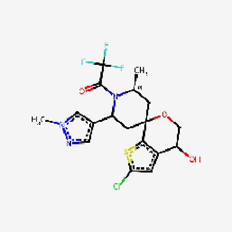 C[C@H]1CC2(CC(c3cnn(C)c3)N1C(=O)C(F)(F)F)OCC(O)c1cc(Cl)sc12